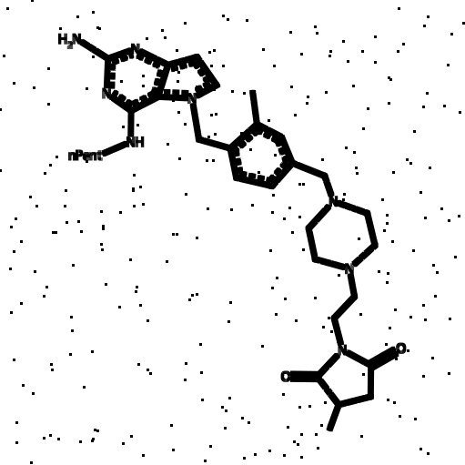 CCCCCNc1nc(N)nc2ccn(Cc3ccc(CN4CCN(CCN5C(=O)CC(C)C5=O)CC4)cc3C)c12